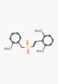 COc1ccccc1CS(=O)(=O)C=Cc1c(OC)cccc1OC